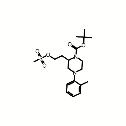 Cc1ccccc1N1CCN(C(=O)OC(C)(C)C)C(CCOS(C)(=O)=O)C1